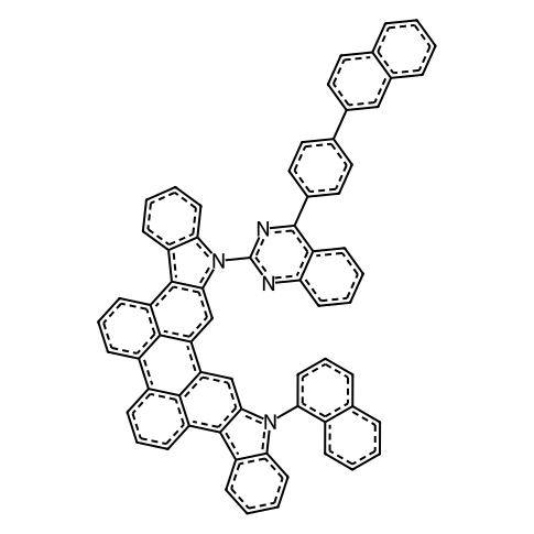 c1ccc2cc(-c3ccc(-c4nc(-n5c6ccccc6c6c7cccc8c9cccc%10c9c(cc9c%10c%10ccccc%10n9-c9cccc%10ccccc9%10)c(cc65)c87)nc5ccccc45)cc3)ccc2c1